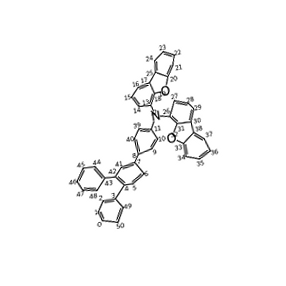 c1ccc(-c2ccc(-c3ccc(N(c4cccc5c4oc4ccccc45)c4cccc5c4oc4ccccc45)cc3)cc2-c2ccccc2)cc1